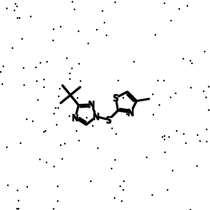 Cc1csc(Sn2cnc(C(C)(C)C)n2)n1